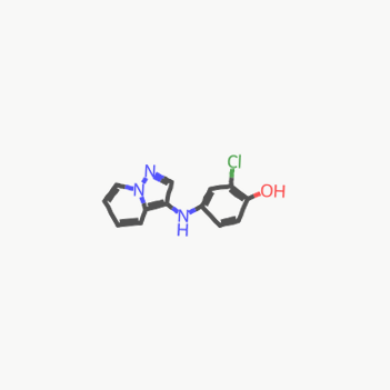 Oc1ccc(Nc2cnn3ccccc23)cc1Cl